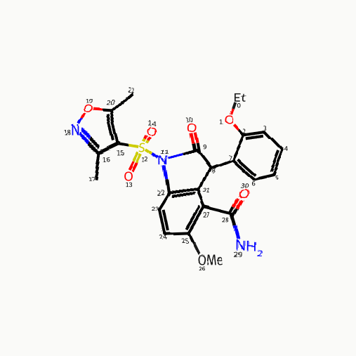 CCOc1ccccc1[C]1C(=O)N(S(=O)(=O)c2c(C)noc2C)c2ccc(OC)c(C(N)=O)c21